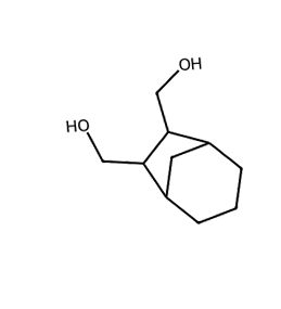 OCC1C2CCCC(C2)C1CO